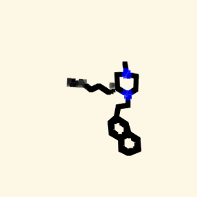 CNCCC[C@@H]1CN(C)CCN1CCc1ccc2ccccc2c1